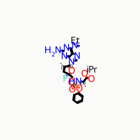 CCN(C)c1nc(N)nc2c1ncn2[C@@H]1O[C@](F)(CO[P@@](=O)(N[C@@H](C)C(=O)OC(C)C)Oc2ccccc2)C[C@@H]1C